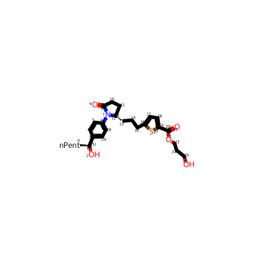 CCCCC[C@H](O)c1ccc(N2C(=O)CC[C@@H]2CCCc2ccc(C(=O)OCCCO)s2)cc1